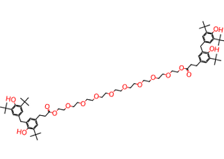 CC(C)(C)c1cc(CCC(=O)OCCOCCOCCOCCOCCOCCOCCOCCOCCOC(=O)CCc2cc(Cc3cc(C(C)(C)C)c(O)c(C(C)(C)C)c3)c(O)c(C(C)(C)C)c2)cc(Cc2cc(C(C)(C)C)c(O)c(C(C)(C)C)c2)c1O